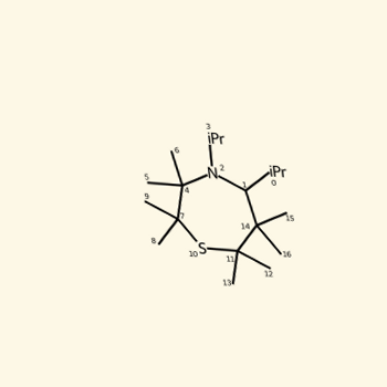 CC(C)C1N(C(C)C)C(C)(C)C(C)(C)SC(C)(C)C1(C)C